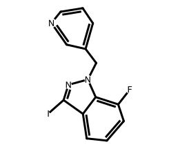 Fc1cccc2c(I)nn(Cc3cccnc3)c12